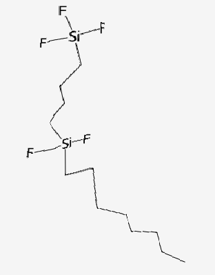 CCCCCCCC[Si](F)(F)CCCC[Si](F)(F)F